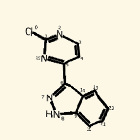 Clc1nccc(-c2n[nH]c3ccccc23)n1